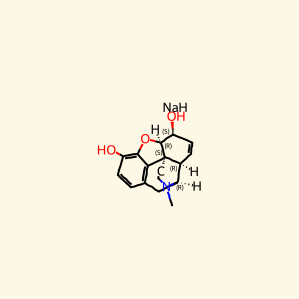 CN1CC[C@]23c4c5ccc(O)c4O[C@H]2[C@@H](O)C=C[C@H]3[C@H]1C5.[NaH]